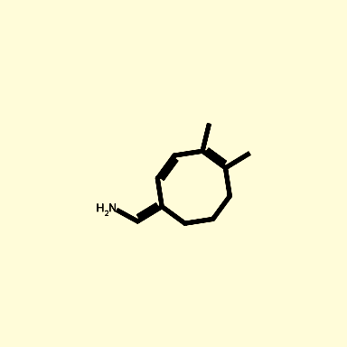 CC1=C(\C)CCCC(=C/N)/C=C\1